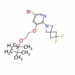 CC(C)(C)[Si](C)(C)OCCOc1cc(Br)cnc1N1CC2(C1)CC(F)(F)C2